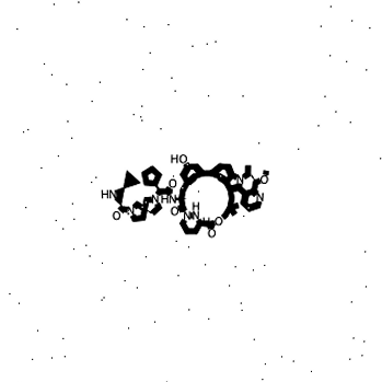 CCn1c(-c2cccnc2[C@H](C)OC)c2c3cc(ccc31)-c1cc(O)cc(c1)C[C@H](NC(=O)[C@H](C1CCCC1)N1CC[C@@]3(CCN(C(=O)[C@@H]4N[C@@H]4C4CC4)C3)C1)C(=O)N1CCC[C@H](N1)C(=O)OCC(C)(C)C2